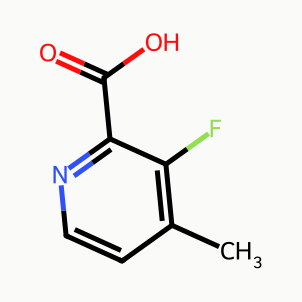 Cc1ccnc(C(=O)O)c1F